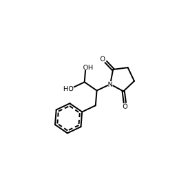 O=C1CCC(=O)N1C(Cc1ccccc1)C(O)O